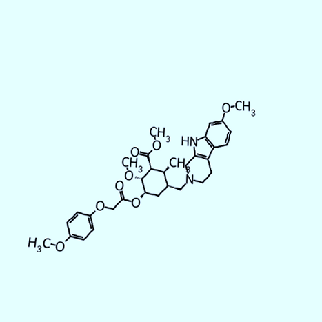 COC(=O)[C@H]1[C@@H](C)[C@@H](CN2CCc3c([nH]c4cc(OC)ccc34)C2)C[C@@H](OC(=O)COc2ccc(OC)cc2)[C@@H]1OC